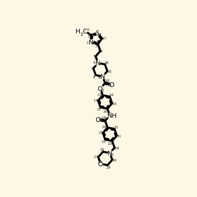 Cc1nc(CCN2CCN(C(=O)Oc3ccc(NC(=O)c4ccc(CN5CCOCC5)cc4)cc3)CC2)cs1